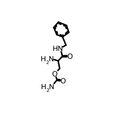 NC(=O)OCC(N)C(=O)NCc1ccccc1